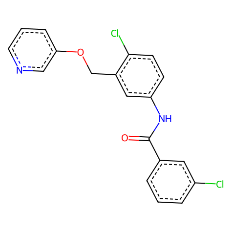 O=C(Nc1ccc(Cl)c(COc2cccnc2)c1)c1cccc(Cl)c1